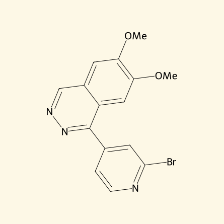 COc1cc2cnnc(-c3ccnc(Br)c3)c2cc1OC